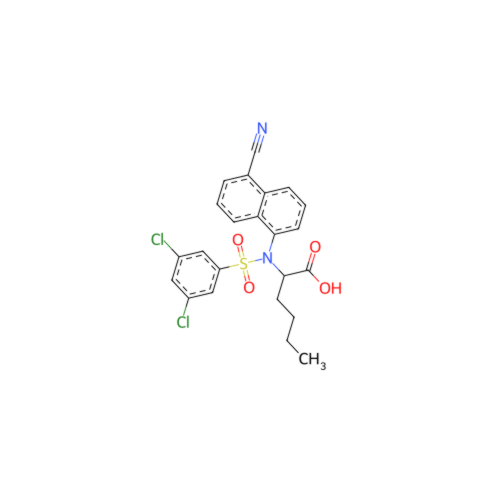 CCCCC(C(=O)O)N(c1cccc2c(C#N)cccc12)S(=O)(=O)c1cc(Cl)cc(Cl)c1